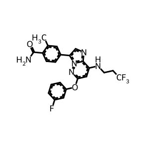 Cc1cc(-c2cnc3c(NCCC(F)(F)F)cc(Oc4cccc(F)c4)nn23)ccc1C(N)=O